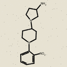 NC1CCN(C2CCN(c3ccccc3[N+](=O)[O-])CC2)C1